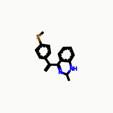 C=C(C1=NC(C)Nc2ccccc21)c1ccc(SC)cc1